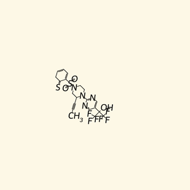 CC#CC1CN(S(=O)(=O)C2=CC=CCC2=S)CCN1c1ncc(C(O)(C(F)(F)F)C(F)(F)F)cn1